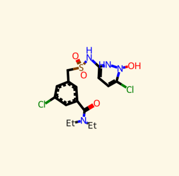 CCN(CC)C(=O)c1cc(Cl)cc(CS(=O)(=O)NC2=CC=C(Cl)N(O)N2)c1